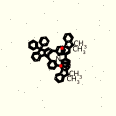 CC1(C)c2ccccc2-c2c(-c3cccc4c3N(c3ccccc3-c3ccc5c(c3)C(C)(C)C3C=CC=CC53)c3ccccc3-c3cc-4c4c(c3)C(C3=CCCC=C3)(c3ccccc3)c3ccccc3-4)cccc21